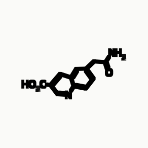 NC(=O)Cc1ccc2ncc(C(=O)O)cc2c1